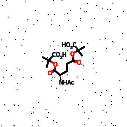 CC(=O)N[C@@H](CCC(=O)OC(C)(C)C(=O)O)C(=O)OC(C)(C)C(=O)O